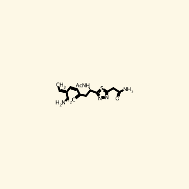 C=C(/C=C\C(=C/C)CN)C[C@H](NC(C)=O)c1nnc(CC(N)=O)s1